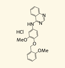 COc1ccccc1COc1ccc(Nc2ncnc3ccccc23)cc1OC.Cl